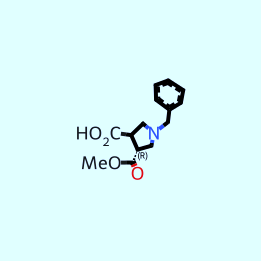 COC(=O)[C@H]1CN(Cc2ccccc2)CC1C(=O)O